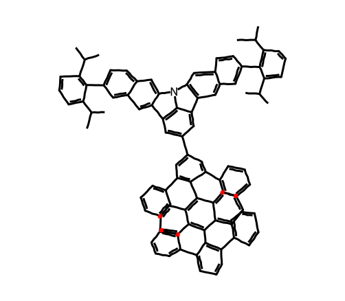 CC(C)c1cccc(C(C)C)c1-c1ccc2cc3c(cc2c1)c1cc(-c2cc(-c4ccccc4)c(-c4c5ccccc5c(-c5c(-c6ccccc6)cccc5-c5ccccc5)c5ccccc45)c(-c4ccccc4)c2)cc2c4cc5cc(-c6c(C(C)C)cccc6C(C)C)ccc5cc4n3c12